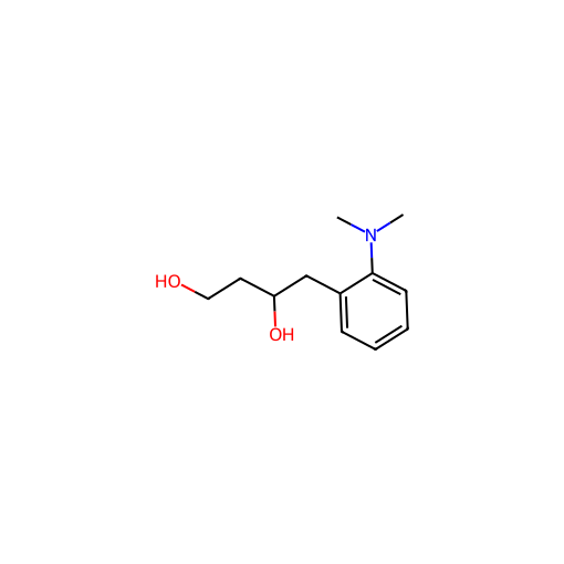 CN(C)c1ccccc1CC(O)CCO